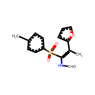 C/C(=C(\NC=O)S(=O)(=O)c1ccc(C)cc1)c1ccco1